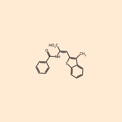 Cc1c(/C=C(\NC(=O)c2ccccc2)C(=O)O)sc2ccccc12